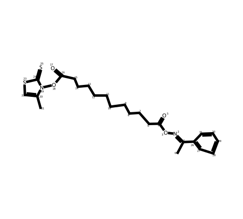 C/C(=N\OC(=O)CCCCCCCCCCC(=O)On1c(C)csc1=S)c1ccccc1